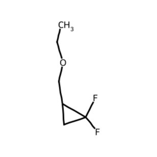 CCOCC1CC1(F)F